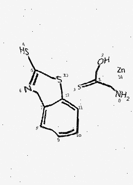 NC(O)=S.Sc1nc2ccccc2s1.[Zn]